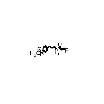 CS(=O)(=O)c1ccc(CCCNC(=O)C=CF)cc1